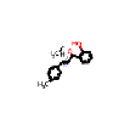 CC.Cc1ccc(/C=C/C(=O)c2ccccc2O)cc1